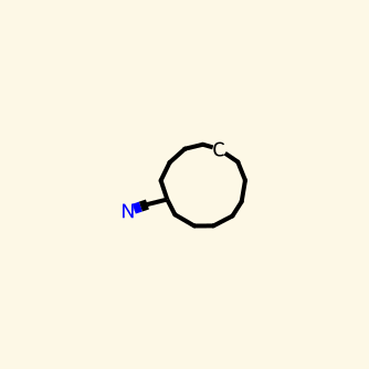 N#CC1CCCCCCCCCCCC1